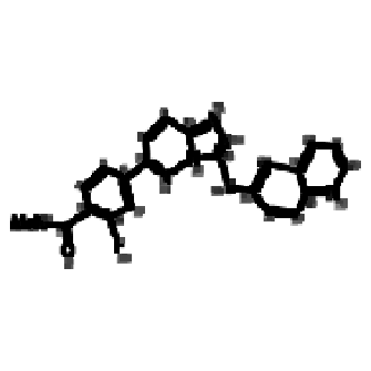 CNC(=O)c1ccc(-c2ccc3nnc(Sc4ccc5ncccc5c4)n3n2)cc1F